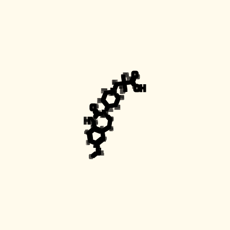 CSc1ccc2c(c1)CCN(C1CCN(CC(C)(C)C(=O)O)CC1)C(=O)N2